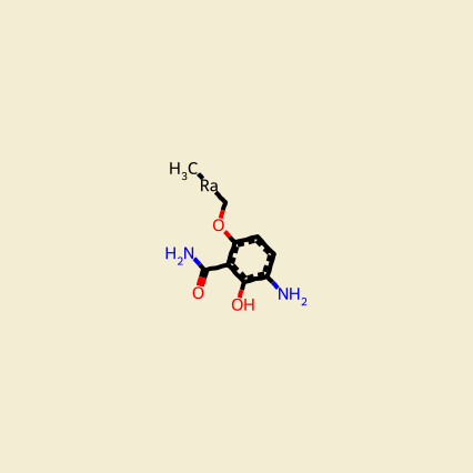 [CH3][Ra][CH2]Oc1ccc(N)c(O)c1C(N)=O